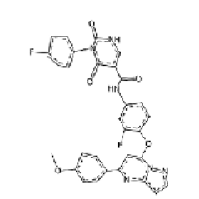 COc1ccc(-c2cc(Oc3ccc(NC(=O)c4c[nH]c(=O)n(-c5ccc(F)cc5)c4=O)cc3F)n3nccc3n2)cc1